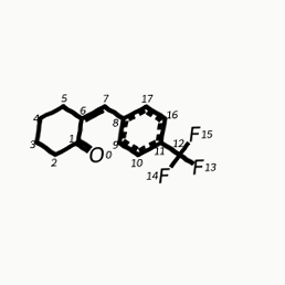 O=C1CCCC/C1=C/c1ccc(C(F)(F)F)cc1